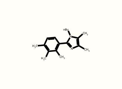 CCCCn1c(-c2ccc(C)c(C)c2C)nc(C)c1C